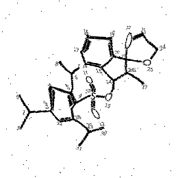 CC(C)c1cc(C(C)C)c(S(=O)(=O)OC2c3ccccc3C3(OCCO3)C2C)c(C(C)C)c1